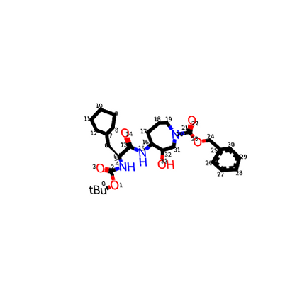 CC(C)(C)OC(=O)N[C@@H](CC1CCCCC1)C(=O)NC1CCCN(C(=O)OCc2ccccc2)CC1O